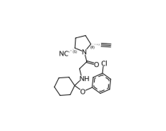 C#C[C@H]1CC[C@@H](C#N)N1C(=O)CNC1(Oc2cccc(Cl)c2)CCCCC1